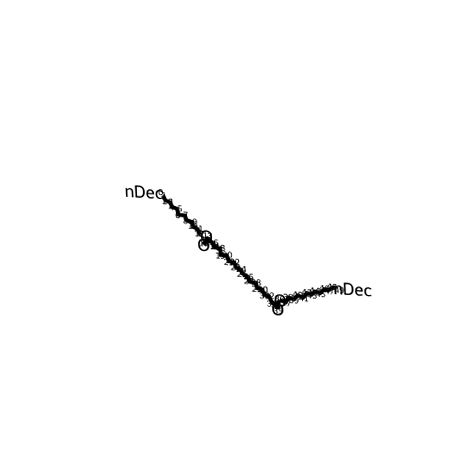 CCCCCCCCCCCCCCCCCCCCCCOC(=O)CCCCCCCCCCCCCCCCCCC(=O)OCCCCCCCCCCCCCCCCCCCCCC